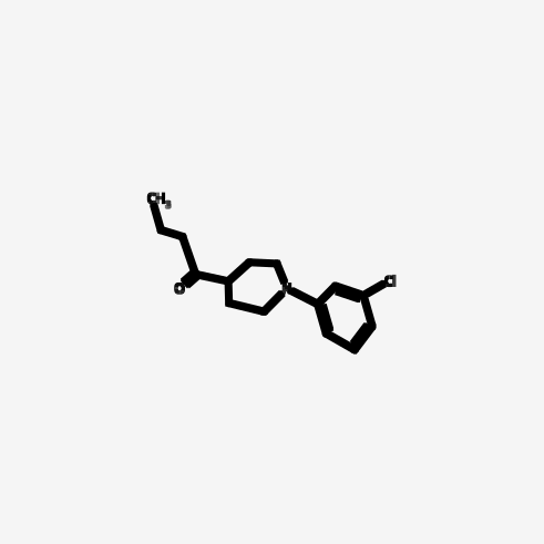 CCCC(=O)C1CCN(c2cccc(Cl)c2)CC1